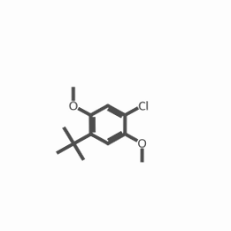 COc1cc(C(C)(C)C)c(OC)cc1Cl